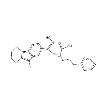 Cn1c2c(c3ccc(C(C[C@@H](CCCc4ccccc4)C(=O)O)=NO)cc31)CCCC2